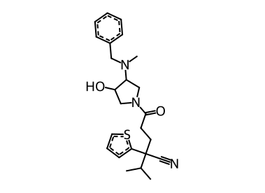 CC(C)C(C#N)(CCC(=O)N1CC(O)C(N(C)Cc2ccccc2)C1)c1cccs1